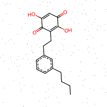 CCCCc1cccc(CCC2=C(O)C(=O)C=C(O)C2=O)c1